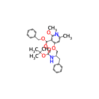 COc1nc(C)cc(OC[C@@H](Cc2ccccc2)NC(=O)OC(C)(C)C)c1C(=O)OCc1ccccc1